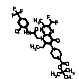 CCc1c(N2CCN(C(=O)OC(C)(C)C)CC2)c(=O)c2nc(C(F)F)c(C)nc2n1CC(=O)Nc1ccc(C(F)(F)F)cc1Cl